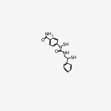 NC(=O)c1ccc(N(S)C(=O)NCC(S)c2ccccc2)cc1